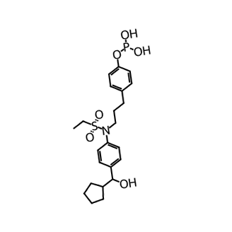 CCS(=O)(=O)N(CCCc1ccc(OP(O)O)cc1)c1ccc(C(O)C2CCCC2)cc1